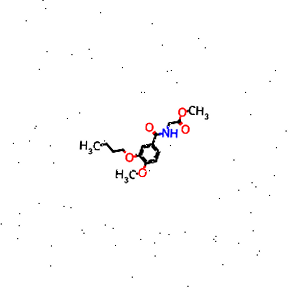 CCCCOc1cc(C(=O)NCC(=O)OC)ccc1OC